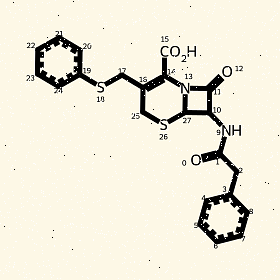 O=C(Cc1ccccc1)NC1C(=O)N2C(C(=O)O)=C(CSc3ccccc3)CSC12